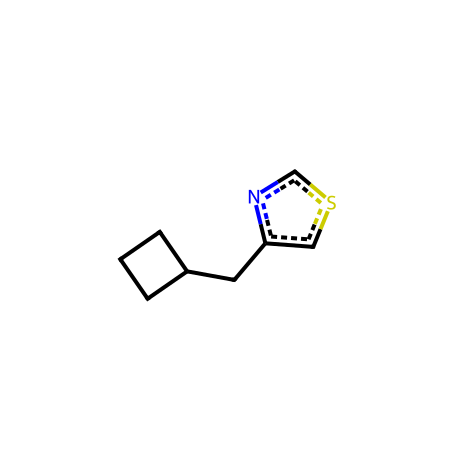 c1nc(CC2CCC2)cs1